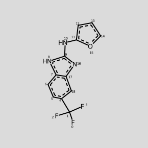 FC(F)(F)c1ccc2[nH]c(Nc3ccco3)nc2c1